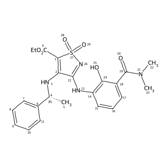 CCOC(=O)C1=C(N[C@H](C)c2ccccc2)C(Nc2cccc(C(=O)N(C)C)c2O)=NS1(=O)=O